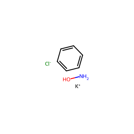 NO.[Cl-].[K+].c1ccccc1